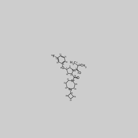 CC(C)C(=O)N1CC(Oc2cccc(F)c2)CC1C(=O)N1CCCN(C2CCC2)CC1